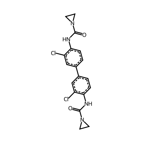 O=C(Nc1ccc(-c2ccc(NC(=O)N3CC3)c(Cl)c2)cc1Cl)N1CC1